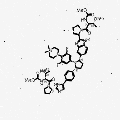 COC(=O)N[C@H](C(=O)N1CCCC1c1nc2cc([C@H]3CC[C@H](c4ccc(-c5cnc([C@@H]6CCCN6C(=O)[C@@H](NC(=O)OC)[C@@H](C)OC)[nH]5)cc4)N3c3cc(F)c(N4CC[Si](C)(C)CC4)c(F)c3)ccc2[nH]1)[C@@H](C)OC